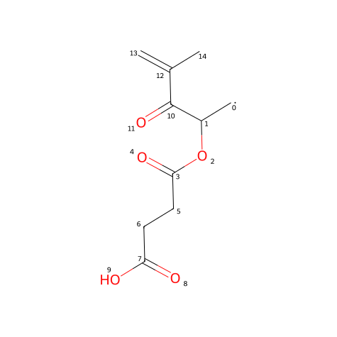 [CH2]C(OC(=O)CCC(=O)O)C(=O)C(=C)C